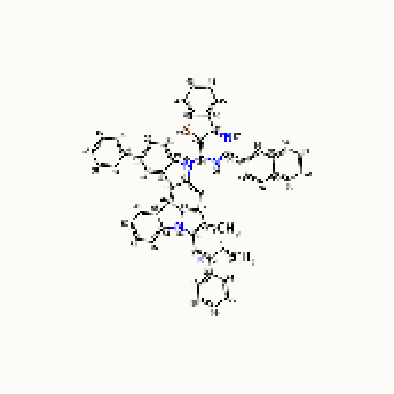 C=C/C(=C\c1c(C)c2cc3c(c4cc(-c5ccccc5)ccc4n3-c3nc(-c4ccc5ccccc5c4)nc4c3sc3ccccc34)c3c4ccccc4n1c23)c1ccccc1